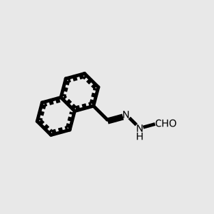 O=CNN=Cc1cccc2ccccc12